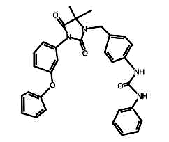 CC1(C)C(=O)N(c2cccc(Oc3ccccc3)c2)C(=O)N1Cc1ccc(NC(=O)Nc2ccccc2)cc1